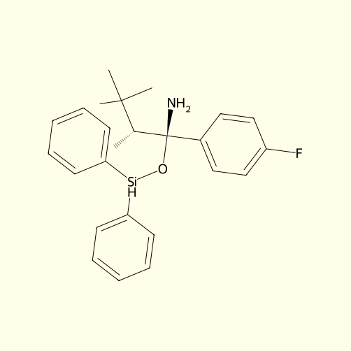 C[C@H](C(C)(C)C)[C@@](N)(O[SiH](c1ccccc1)c1ccccc1)c1ccc(F)cc1